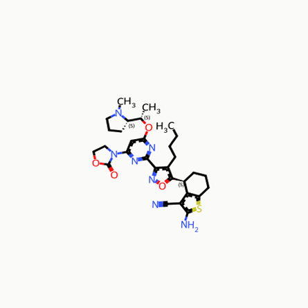 CCCCc1c(-c2nc(O[C@@H](C)[C@@H]3CCCN3C)cc(N3CCOC3=O)n2)noc1[C@H]1CCCc2sc(N)c(C#N)c21